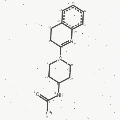 CCCC(=O)NC1CCN(C2=Nc3ccccc3CC2)CC1